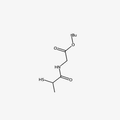 CC(S)C(=O)NCC(=O)OC(C)(C)C